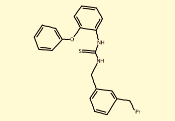 CC(C)Cc1cccc(CNC(=S)Nc2ccccc2Oc2ccccc2)c1